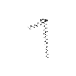 CCCCCCCCCCCCCCCCCCCc1[nH]cnc1CCCCCCCC